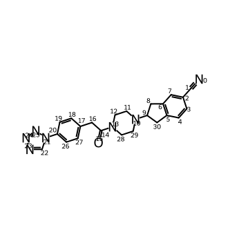 N#Cc1ccc2c(c1)CC(N1CCN(C(=O)Cc3ccc(-n4cnnn4)cc3)CC1)C2